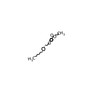 CCCCCCC[C@H]1CC[C@H](CCCOc2ccc(C(=O)OCCC)cc2)CC1